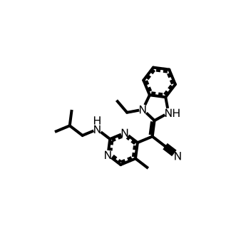 CCN1C(=C(C#N)c2nc(NCC(C)C)ncc2C)Nc2ccccc21